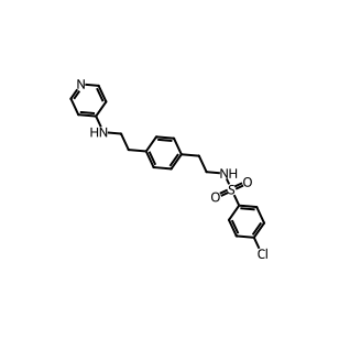 O=S(=O)(NCCc1ccc(CCNc2ccncc2)cc1)c1ccc(Cl)cc1